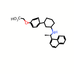 C[C@@H](NC1CCCC(c2ccc(OCC(=O)O)cc2)C1)c1cccc2ccccc12